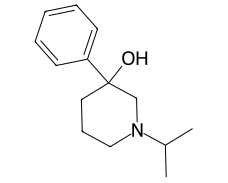 CC(C)N1CCCC(O)(c2ccccc2)C1